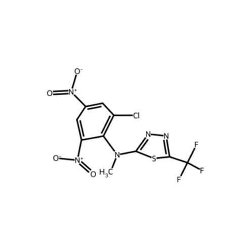 CN(c1nnc(C(F)(F)F)s1)c1c(Cl)cc([N+](=O)[O-])cc1[N+](=O)[O-]